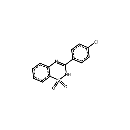 O=S1(=O)NC(c2ccc(Cl)cc2)=Nc2ccccc21